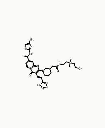 CC(C)(C)c1csc(NC(=O)c2ccn3c(=O)c(/C=C/c4nnn[nH]4)c(N4CCCC(CC(=O)NCC[N+](C)(C)CCO)C4)nc3c2)n1